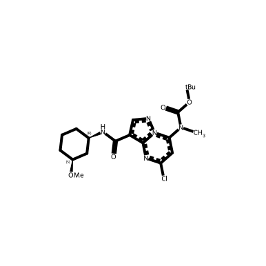 CO[C@H]1CCC[C@@H](NC(=O)c2cnn3c(N(C)C(=O)OC(C)(C)C)cc(Cl)nc23)C1